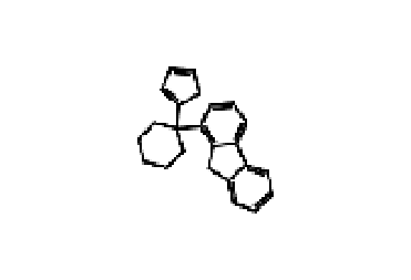 C1=CCC(C2(c3cccc4c3Cc3ccccc3-4)CCCCC2)=C1